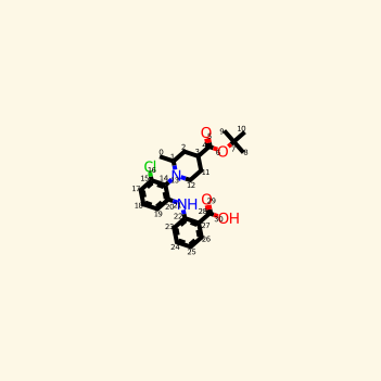 CC1CC(C(=O)OC(C)(C)C)CCN1c1c(Cl)cccc1Nc1ccccc1C(=O)O